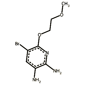 COCCOc1nc(N)c(N)cc1Br